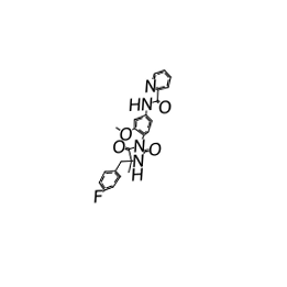 COc1cc(NC(=O)c2ccccn2)ccc1N1C(=O)NC(C)(Cc2ccc(F)cc2)C1=O